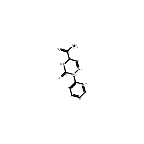 NC(=O)C1C=NN(c2ccccn2)C(=O)S1